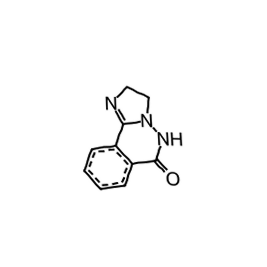 O=C1NN2CCN=C2c2ccccc21